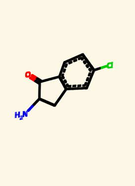 NC1Cc2cc(Cl)ccc2C1=O